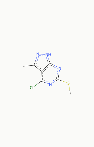 CSc1nc(Cl)c2c(C)n[nH]c2n1